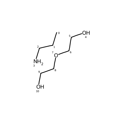 CCCN.OCCOCCO